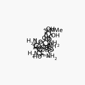 CN[C@@H]1[C@@H](O)[C@@H](O[C@@H]2[C@@H](O)[C@H](O[C@H]3OC(C(N)C(O)C(C)O)=CC[C@H]3N)[C@@H](N)C[C@]2(N)NS(=O)(=O)CCN)OC[C@]1(C)O